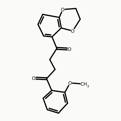 COc1ccccc1C(=O)CCC(=O)c1cccc2c1OCCO2